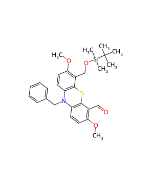 COc1ccc2c(c1C=O)Sc1c(ccc(OC)c1CO[Si](C)(C)C(C)(C)C)N2Cc1ccccc1